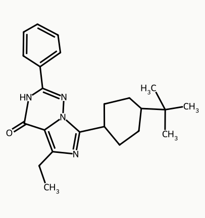 CCc1nc(C2CCC(C(C)(C)C)CC2)n2nc(-c3ccccc3)[nH]c(=O)c12